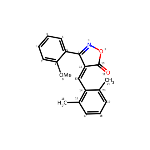 COc1ccccc1C1=NOC(=O)/C1=C\c1c(C)cccc1C